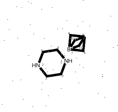 C1CNCCN1.C1[B-]23CC1(C2)C3